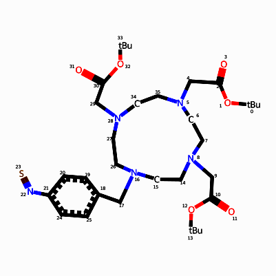 CC(C)(C)OC(=O)CN1CCN(CC(=O)OC(C)(C)C)CCN(Cc2ccc(N=S)cc2)CCN(CC(=O)OC(C)(C)C)CC1